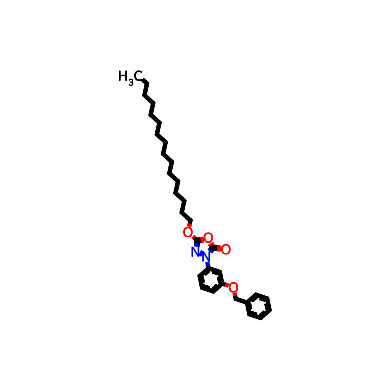 CCCCCCCCCCCCCCCCOc1nn(-c2cccc(OCc3ccccc3)c2)c(=O)o1